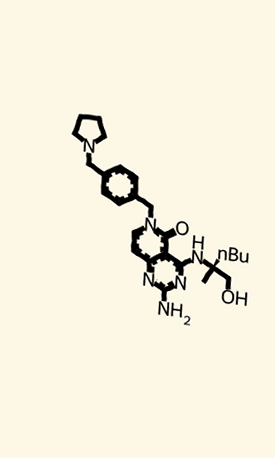 CCCC[C@](C)(CO)Nc1nc(N)nc2ccn(Cc3ccc(CN4CCCC4)cc3)c(=O)c12